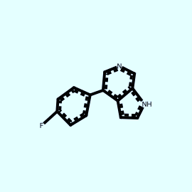 Fc1ccc(-c2cncc3[nH]ccc23)cc1